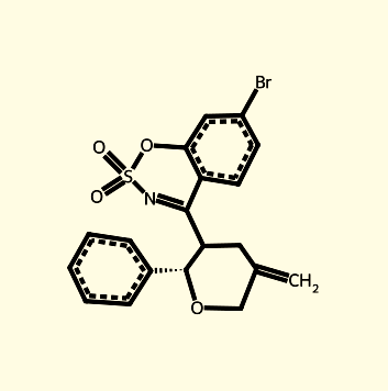 C=C1CO[C@H](c2ccccc2)C(C2=NS(=O)(=O)Oc3cc(Br)ccc32)C1